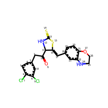 O=C(Cc1ccc(Cl)c(Cl)c1)C1NC(=S)SC1=Cc1ccc2c(c1)NCCO2